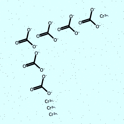 O=C([O-])[O-].O=C([O-])[O-].O=C([O-])[O-].O=C([O-])[O-].O=C([O-])[O-].O=C([O-])[O-].[Cr+3].[Cr+3].[Cr+3].[Cr+3]